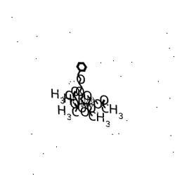 CC(=O)N[C@@H]1[C@@H](OCCOCc2ccccc2)O[C@H](COC(C)=O)[C@@H](OC(C)=O)[C@@H]1OC(C)=O